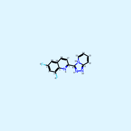 Fc1cc(F)c2nc(-c3nnc4ccccn34)ccc2c1